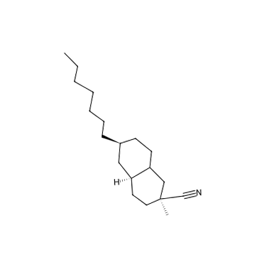 CCCCCCC[C@H]1CCC2C[C@@](C)(C#N)CC[C@H]2C1